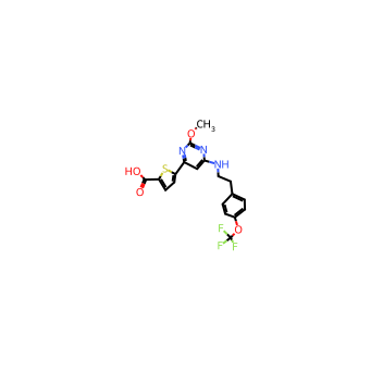 COc1nc(NCCc2ccc(OC(F)(F)F)cc2)cc(-c2ccc(C(=O)O)s2)n1